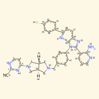 N#Cc1nccc(N2C[C@@H]3CN(Cc4ccc(-n5c(-c6cccnc6N)nc6ccc(-c7ccc(F)cc7)nc65)cc4)C[C@H]3C2)n1